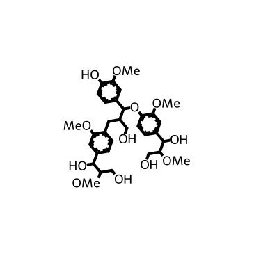 COc1cc(C(Oc2ccc(C(O)C(CO)OC)cc2OC)C(CO)Cc2ccc(C(O)C(CO)OC)cc2OC)ccc1O